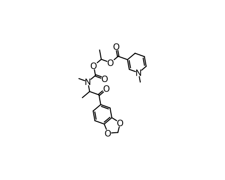 CC(OC(=O)C1=CN(C)C=CC1)OC(=O)N(C)C(C)C(=O)c1ccc2c(c1)OCO2